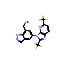 CCc1cc(-n2c(C(F)(F)F)nc3ccc(C(F)(F)F)nc32)cc2cn[nH]c12